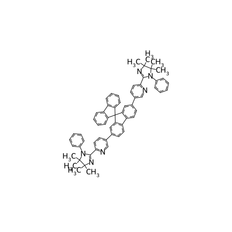 CC1(C)N=C(c2ccc(-c3ccc4c(c3)C3(c5ccccc5-c5ccccc53)c3cc(-c5ccc(C6=NC(C)(C)C(C)(C)N6c6ccccc6)nc5)ccc3-4)cn2)N(c2ccccc2)C1(C)C